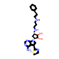 Nc1ncnc2c1c(-c1nccs1)cn2[C@@H]1C[C@H](CNCCCNCCc2ccccc2)[C@@H](O)[C@H]1O